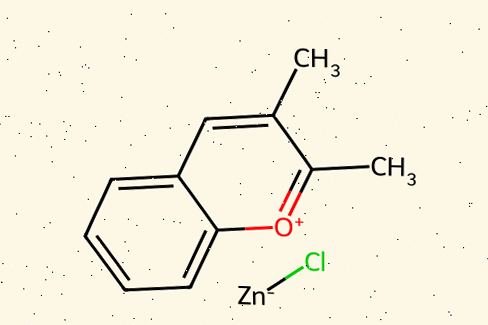 Cc1cc2ccccc2[o+]c1C.[Cl][Zn-]